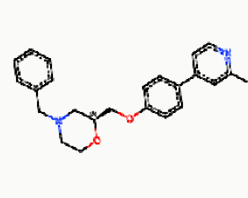 Cc1cc(-c2ccc(OC[C@@H]3CN(Cc4ccccc4)CCO3)cc2)ccn1